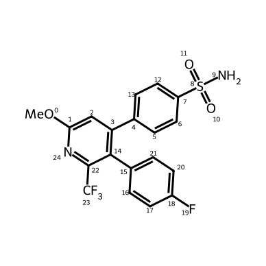 COc1cc(-c2ccc(S(N)(=O)=O)cc2)c(-c2ccc(F)cc2)c(C(F)(F)F)n1